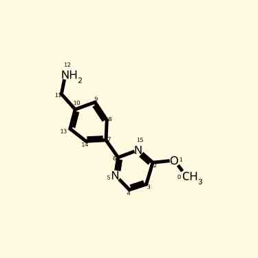 COc1ccnc(-c2ccc(CN)cc2)n1